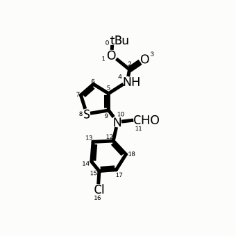 CC(C)(C)OC(=O)Nc1ccsc1N(C=O)c1ccc(Cl)cc1